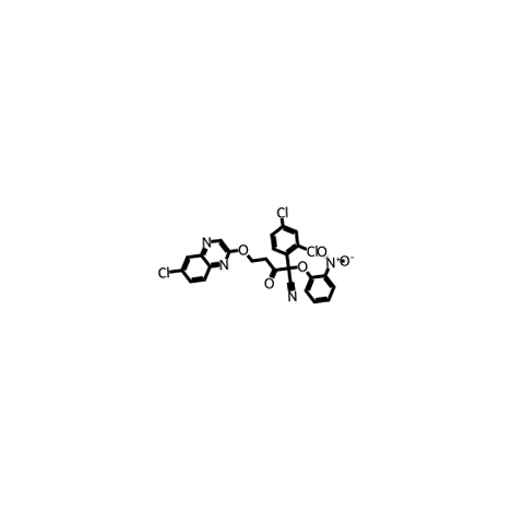 N#CC(Oc1ccccc1[N+](=O)[O-])(C(=O)CCOc1cnc2cc(Cl)ccc2n1)c1ccc(Cl)cc1Cl